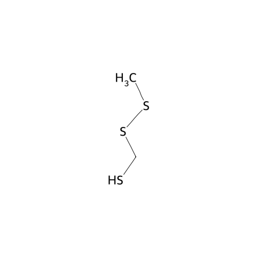 CSSCS